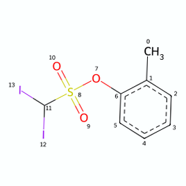 Cc1ccccc1OS(=O)(=O)C(I)I